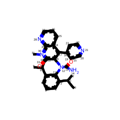 CC(C)c1cccc(C(C)C)c1N(C(N)=O)c1c(-c2ccncc2)c2cccnc2n(C)c1=O